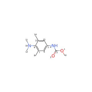 COC(=O)Nc1cc(C)c(N(C)C)c(C)c1